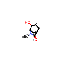 CCCCN1C(=O)C2CCC(O)C1C2